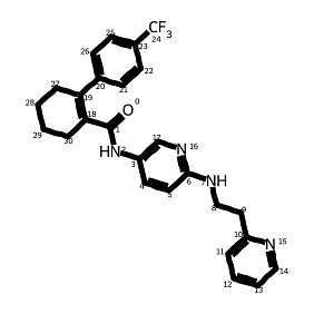 O=C(Nc1ccc(NCCc2ccccn2)nc1)C1=C(c2ccc(C(F)(F)F)cc2)CCCC1